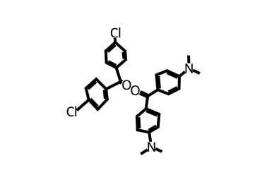 CN(C)c1ccc(C(=O)c2ccc(N(C)C)cc2)cc1.O=C(c1ccc(Cl)cc1)c1ccc(Cl)cc1